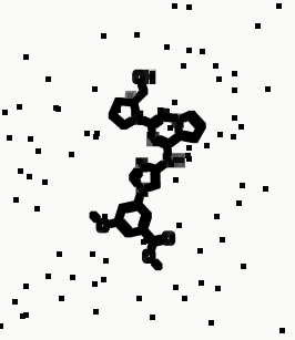 COC(=O)c1cc(OC)cc(-n2cnc(Nc3nc(N4CCC[C@H]4CO)nn4cccc34)c2)c1